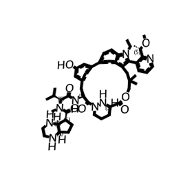 CCn1c(-c2cccnc2[C@H](C)OC)c2c3cc(ccc31)-c1cc(O)cc(c1)C[C@H](NC(=O)[C@H](C(C)C)N(C)C(=O)[C@H]1CC[C@H]3NCCN[C@@H]13)C(=O)N1CCC[C@H](N1)C(=O)OCC(C)(C)C2